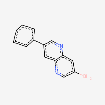 Bc1cnc2cc(-c3ccccc3)cnc2c1